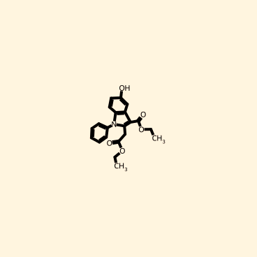 CCOC(=O)Cc1c(C(=O)OCC)c2cc(O)ccc2n1-c1ccccc1